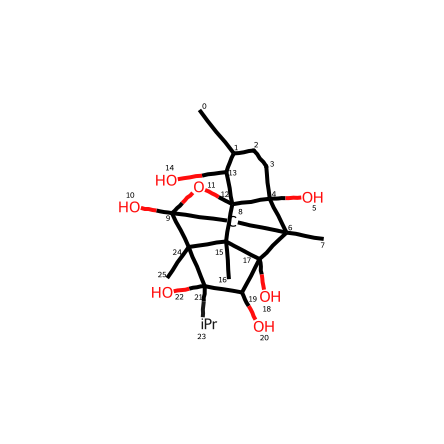 CC1CCC2(O)C3(C)CC4(O)OC2(C1O)C1(C)C3(O)C(O)C(O)(C(C)C)C41C